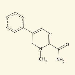 CN1CC(c2ccccc2)=C[C]=C1C(N)=O